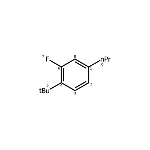 CCCc1ccc(C(C)(C)C)c(F)c1